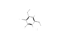 Oc1c(Cl)c(Cl)c(CI)c(Cl)c1CI